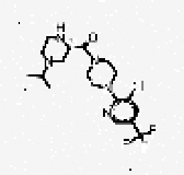 CC(C)N1CCN[C@@H](C(=O)N2CCN(c3ncc(C(F)(F)F)cc3Cl)CC2)C1